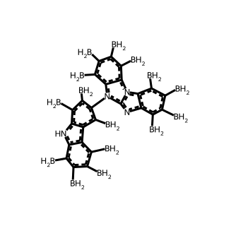 Bc1c(B)c(B)c2c(nc3n(-c4c(B)c(B)c5[nH]c6c(B)c(B)c(B)c(B)c6c5c4B)c4c(B)c(B)c(B)c(B)c4n23)c1B